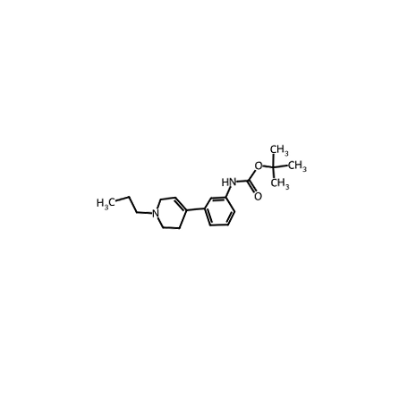 CCCN1CC=C(c2cccc(NC(=O)OC(C)(C)C)c2)CC1